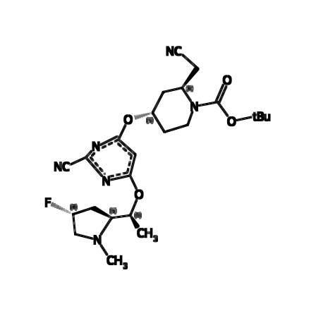 C[C@H](Oc1cc(O[C@H]2CCN(C(=O)OC(C)(C)C)[C@H](CC#N)C2)nc(C#N)n1)[C@@H]1C[C@@H](F)CN1C